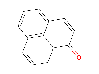 O=C1C=Cc2cccc3c2C1CC=C3